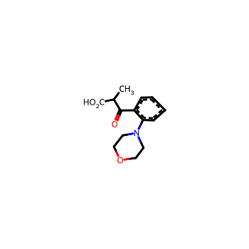 CC(C(=O)O)C(=O)c1ccccc1N1CCOCC1